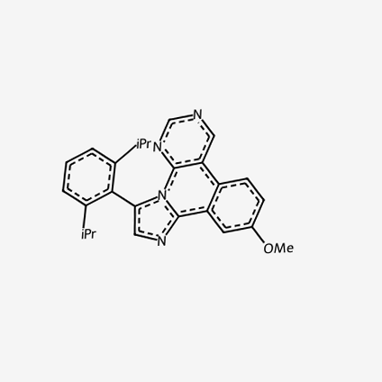 COc1ccc2c3cncnc3n3c(-c4c(C(C)C)cccc4C(C)C)cnc3c2c1